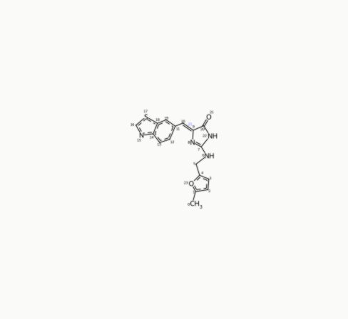 Cc1ccc(CNC2=N/C(=C\c3ccc4ncsc4c3)C(=O)N2)o1